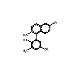 Cc1cc(C)c(C)c(-c2c3ccc(C(C)C)cc3cc[n+]2C)c1